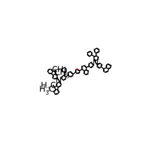 CC1(C)c2ccccc2-c2ccc(N(c3ccc(-c4ccc(-c5ccc(-c6ccc(-c7ccc(N(c8ccc(-c9cccc%10ccccc9%10)cc8)c8ccc(-c9ccccc9)c(-c9ccccc9)c8)cc7)c7ccccc67)cc5)cc4)c(-c4ccccc4)c3)c3ccc4c(c3)C(C)(C)c3ccccc3-4)cc21